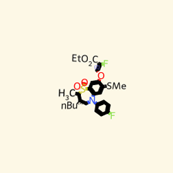 CCCC[C@H]1CN(c2ccc(F)cc2)c2cc(SC)c(O/C=C(\F)C(=O)OCC)cc2S(=O)(=O)C1C